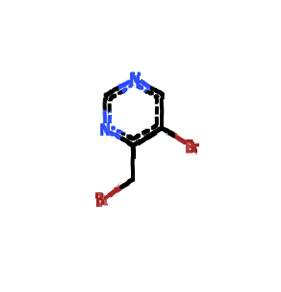 BrCc1ncncc1Br